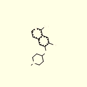 Cc1cc2c(N)nccc2cc1OC1CCN(C)CC1